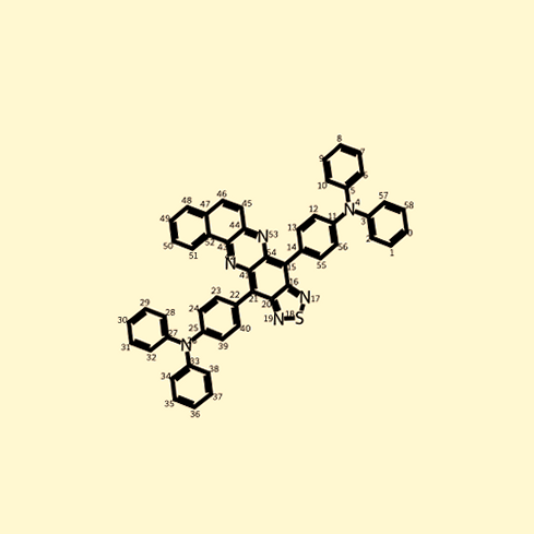 c1ccc(N(c2ccccc2)c2ccc(-c3c4nsnc4c(-c4ccc(N(c5ccccc5)c5ccccc5)cc4)c4nc5c(ccc6ccccc65)nc34)cc2)cc1